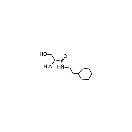 N[C@@H](CO)C(=O)NCCC1CCCCC1